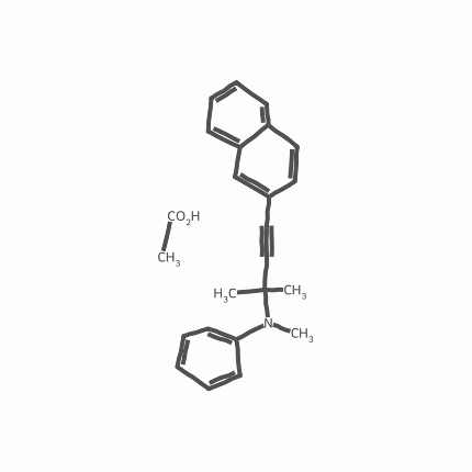 CC(=O)O.CN(c1ccccc1)C(C)(C)C#Cc1ccc2ccccc2c1